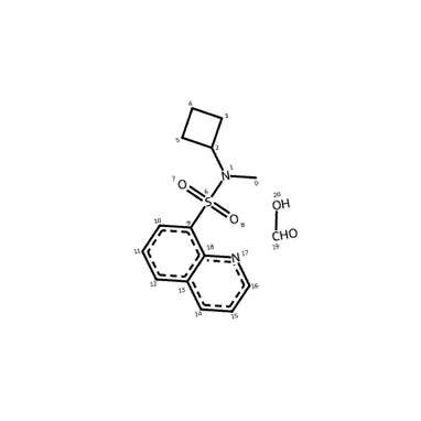 CN(C1CCC1)S(=O)(=O)c1cccc2cccnc12.O=CO